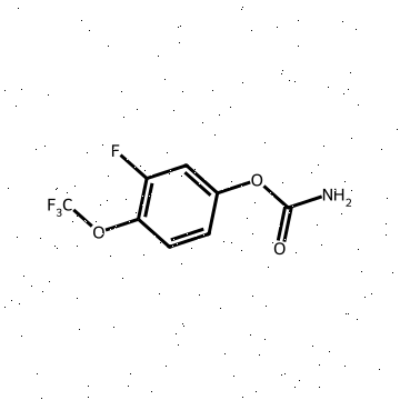 NC(=O)Oc1ccc(OC(F)(F)F)c(F)c1